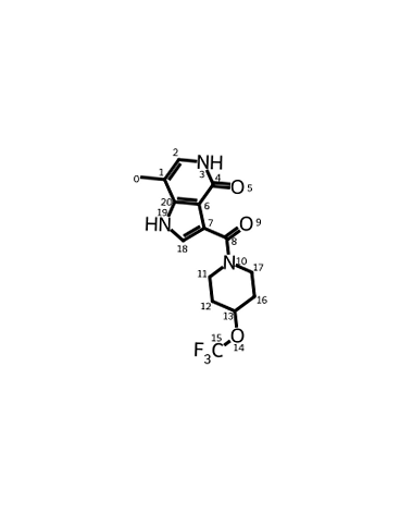 Cc1c[nH]c(=O)c2c(C(=O)N3CCC(OC(F)(F)F)CC3)c[nH]c12